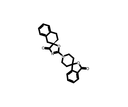 O=C1OC2(CCN(C3=NC(=O)[C@@]4(CCc5ccccc5C4)O3)CC2)c2ccccc21